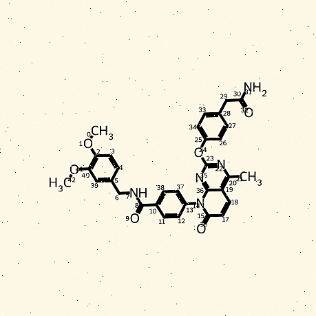 COc1ccc(CNC(=O)c2ccc(-n3c(=O)ccc4c(C)nc(Oc5ccc(CC(N)=O)cc5)nc43)cc2)cc1OC